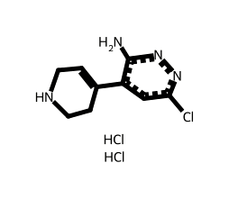 Cl.Cl.Nc1nnc(Cl)cc1C1=CCNCC1